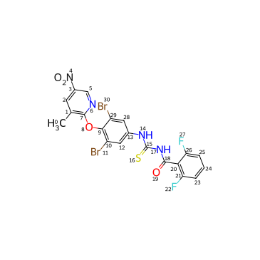 Cc1cc([N+](=O)[O-])cnc1Oc1c(Br)cc(NC(=S)NC(=O)c2c(F)cccc2F)cc1Br